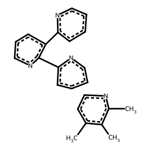 Cc1ccnc(C)c1C.c1ccc(-c2cccnc2-c2ccccn2)nc1